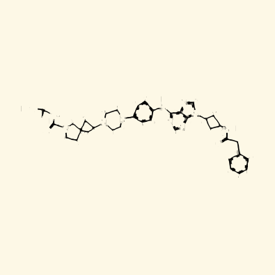 CC(C)(C)OC(=O)N1CCC2(CC(N3CCN(c4ccc(Nc5ncnc6c5ncn6C5CC(NC(=O)Cc6ccccc6)C5)cc4)CC3)C2)C1